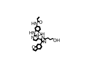 C=CC(=O)Nc1ccc(OC)c(Nc2nccc(-c3[nH]c(CCCO)nc3-c3ccc4ccoc4c3)n2)c1